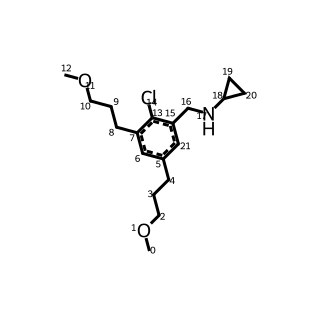 COCCCc1cc(CCCOC)c(Cl)c(CNC2CC2)c1